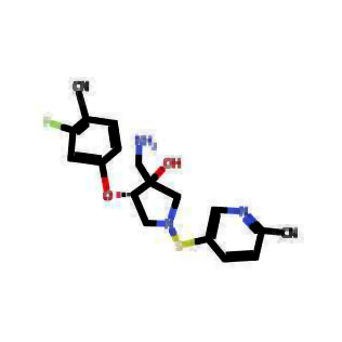 N#Cc1ccc(SN2C[C@H](Oc3ccc(C#N)c(F)c3)C(O)(CN)C2)cn1